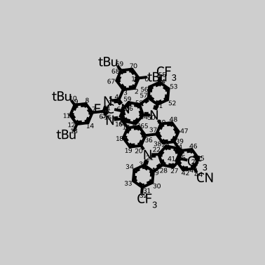 CC(C)(C)c1cc(-c2nc(-c3cc(C(C)(C)C)cc(C(C)(C)C)c3)nc(-c3ccc(-n4c5ccc(C(F)(F)F)cc5c5cc(C(F)(F)F)ccc54)c(-c4cc(-c5ccc(C#N)cc5)ccc4-n4c5ccc(C(F)(F)F)cc5c5cc(C(F)(F)F)ccc54)c3)n2)cc(C(C)(C)C)c1